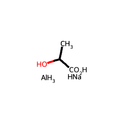 CC(O)C(=O)O.[AlH3].[NaH]